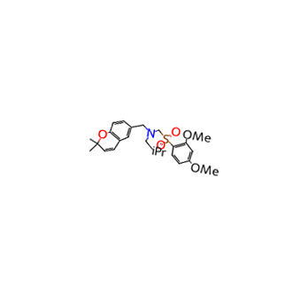 COc1ccc(S(=O)(=O)CN(Cc2ccc3c(c2)C=CC(C)(C)O3)CC(C)C)c(OC)c1